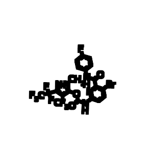 Cn1nc(C(F)(F)C(F)(F)F)c(C(F)(F)F)c1OC(=O)Nc1ccc(Br)c(C(=O)Nc2ccc(F)cc2)n1